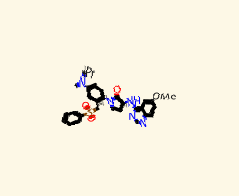 COc1ccc2ncnc(N[C@H]3CCN([C@H]4CC[C@@H](N(C)C(C)C)C[C@@H]4CS(=O)(=O)c4ccccc4)C3=O)c2c1